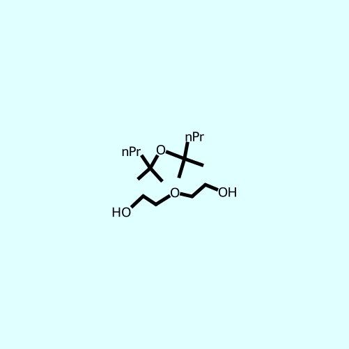 CCCC(C)(C)OC(C)(C)CCC.OCCOCCO